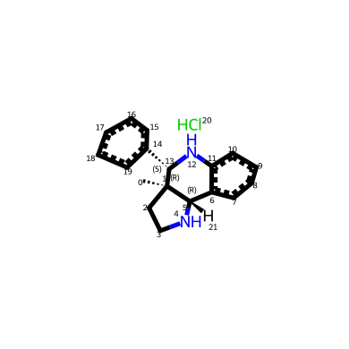 C[C@@]12CCN[C@H]1c1ccccc1N[C@H]2c1ccccc1.Cl